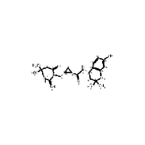 CC1(C)CC(=O)N(C[C@@H]2C[C@H]2C(=O)N[C@H]2CC(C)(C)Oc3cc(Cl)ccc32)C(=N)N1